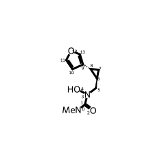 CNC(=O)N(O)C[C@@H]1C[C@H]1c1ccoc1